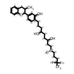 CC1Cc2ccccc2OC1c1ccc(CCCC(O)CCC(O)CC[S+]([O-])CCCC(F)(F)C(F)(F)F)c(O)c1